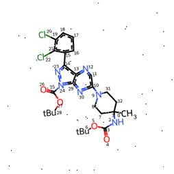 CC1(NC(=O)OC(C)(C)C)CCN(c2cnc3c(-c4cccc(Cl)c4Cl)nn(C(=O)OC(C)(C)C)c3n2)CC1